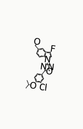 CC(C)Oc1ccc(-c2nc(-n3cc(F)c4cc(C=O)ccc43)no2)cc1Cl